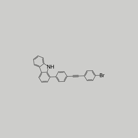 Brc1ccc(C#Cc2ccc(-c3cccc4c3[nH]c3ccccc34)cc2)cc1